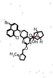 CN1CCCC1COc1nc2c(c(N3C[C@H]4CC[C@@H](C3)N4C(=O)O)n1)CCN(c1ccc(Br)c3cccc(Cl)c13)C2